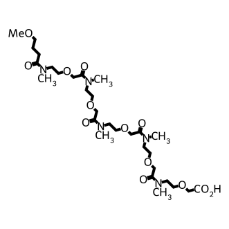 COCCCC(=O)N(C)CCOCC(=O)N(C)CCOCC(=O)N(C)CCOCC(=O)N(C)CCOCC(=O)N(C)CCOCC(=O)O